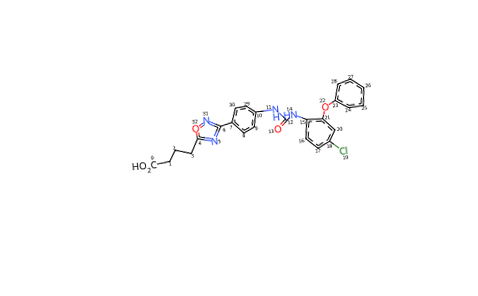 O=C(O)CCCc1nc(-c2ccc(NC(=O)Nc3ccc(Cl)cc3Oc3ccccc3)cc2)no1